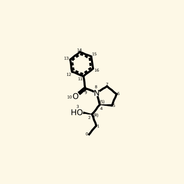 CC[C@@H](O)[C@@H]1CCCN1C(=O)c1ccccc1